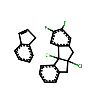 C1=Cc2ccccc2C1.Fc1cc2c(cc1F)C1(Cl)c3ccccc3CC1(Cl)C2